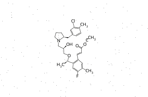 CCOC(=O)/C=C/c1cc(C)c(F)cc1[C@@H](C)OC[C@H](O)CN1CCC[C@H]1Cc1ccc(C)c(Cl)c1